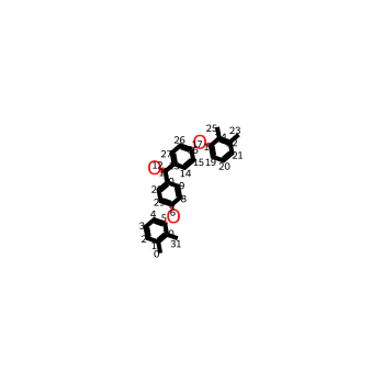 Cc1cccc(Oc2ccc(C(=O)c3ccc(Oc4cccc(C)c4C)cc3)cc2)c1C